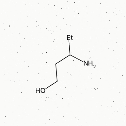 [CH2]CC(N)CCO